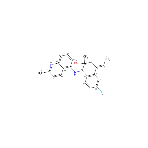 CC=C1CC(O)(C(F)(F)F)C(Nc2cccc3nc(C)ccc23)c2ccc(F)cc21